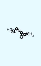 COc1cccc(-c2ccc(COc3cccc([C@H](CC(=O)O)C4CC4)c3)cc2C2CCCCCC2)c1